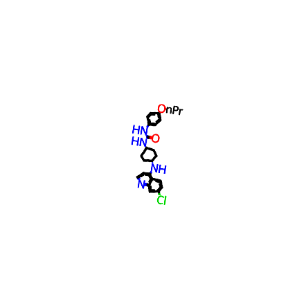 CCCOc1ccc(NC(=O)N[C@H]2CC[C@@H](Nc3ccnc4cc(Cl)ccc34)CC2)cc1